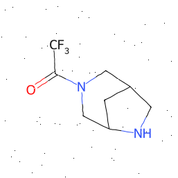 O=C(N1CC2CNC(C2)C1)C(F)(F)F